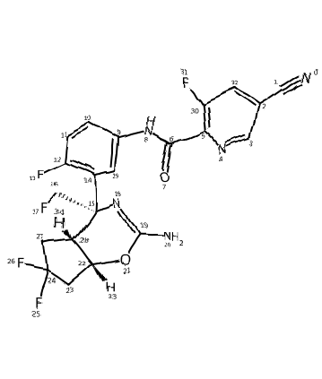 N#Cc1cnc(C(=O)Nc2ccc(F)c([C@@]3(CF)N=C(N)O[C@@H]4CC(F)(F)C[C@@H]43)c2)c(F)c1